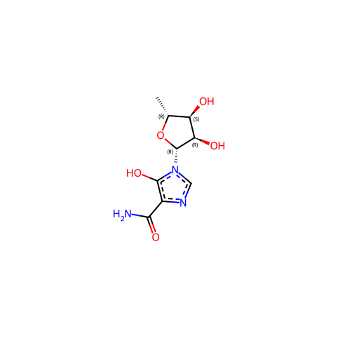 C[C@H]1O[C@@H](n2cnc(C(N)=O)c2O)[C@H](O)[C@@H]1O